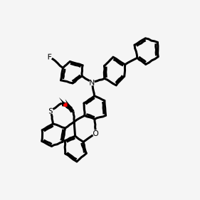 Fc1ccc(N(c2ccc(-c3ccccc3)cc2)c2ccc3c(c2)C2(c4ccccc4O3)c3ccccc3Sc3ccccc32)cc1